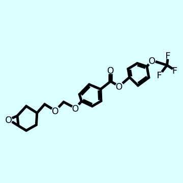 O=C(Oc1ccc(OC(F)(F)F)cc1)c1ccc(OCOCC2CCC3OC3C2)cc1